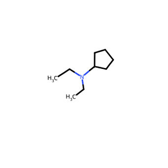 CCN(CC)[C]1CCCC1